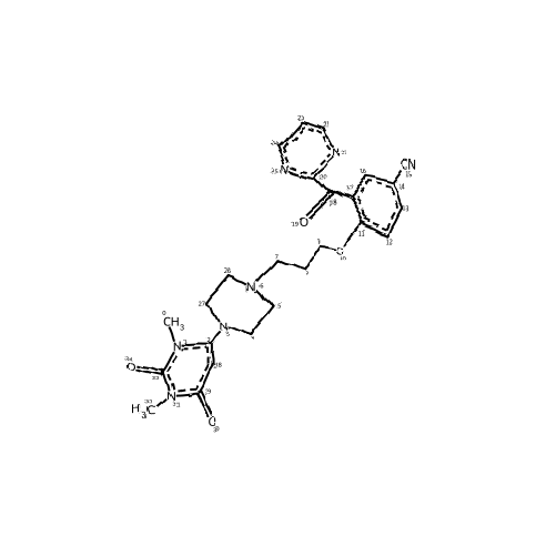 Cn1c(N2CCN(CCCOc3ccc(C#N)cc3C(=O)c3ncccn3)CC2)cc(=O)n(C)c1=O